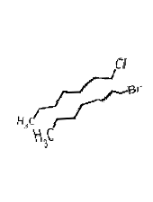 CCCCCCBr.CCCCCCCCl